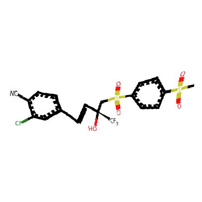 CS(=O)(=O)c1ccc(S(=O)(=O)C[C@](O)(C=Cc2ccc(C#N)c(Cl)c2)C(F)(F)F)cc1